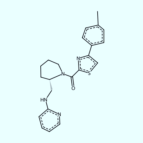 Cc1ccc(-c2csc(C(=O)N3CCCC[C@H]3CNc3ccccn3)n2)cc1